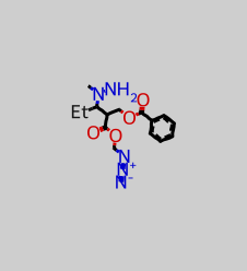 CCC(C(COC(=O)c1ccccc1)C(=O)OCN=[N+]=[N-])N(C)N